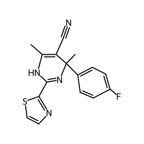 CC1=C(C#N)C(C)(c2ccc(F)cc2)N=C(c2nccs2)N1